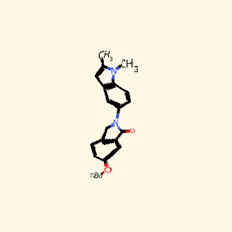 CCCCOc1ccc2c(c1)C(=O)N(c1ccc3c(c1)cc(C)n3C)C2